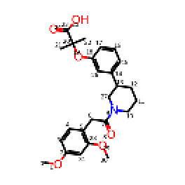 COc1ccc(CC(=O)N2CCCC(c3cccc(OC(C)(C)C(=O)O)c3)C2)c(OC)c1